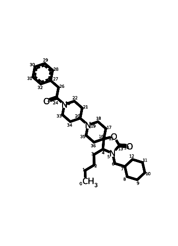 CCCCC1N(CC2CCCCC2)C(=O)OC12CCN(C1CCN(C(=O)Cc3ccccc3)CC1)CC2